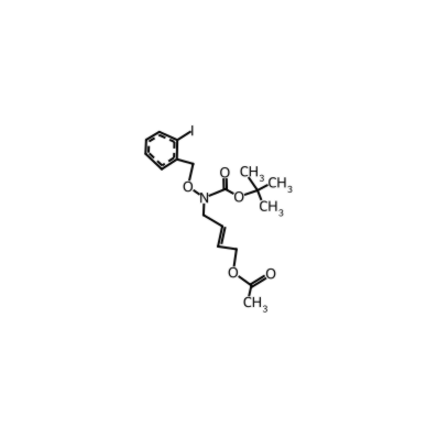 CC(=O)OCC=CCN(OCc1ccccc1I)C(=O)OC(C)(C)C